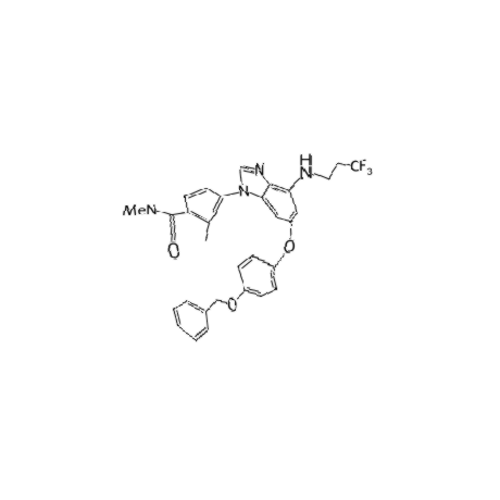 CNC(=O)c1ccc(-n2cnc3c(NCCC(F)(F)F)cc(Oc4ccc(OCc5ccccc5)cc4)cc32)cc1C